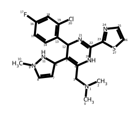 CN(C)CC1=C(C2C=CN(C)N2)C(c2ccc(F)cc2Cl)N=C(c2nccs2)N1